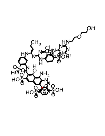 CC/C=C(/N=C(\N=C(/C)Cl)Nc1ccc(S(=O)(=O)O)c(Nc2nc(Cl)nc(NCCOCCO)n2)c1)Nc1ccc(S(=O)(=O)O)c(N=Nc2c(S(=O)(=O)O)cc3cc(S(=O)(=O)O)c(/N=N\c4cc(S(=O)(=O)O)ccc4S(=O)(=O)O)c(N)c3c2O)c1